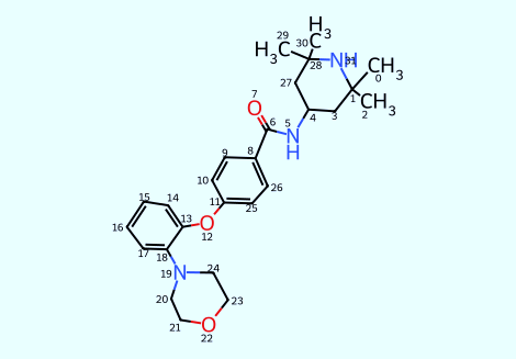 CC1(C)CC(NC(=O)c2ccc(Oc3ccccc3N3CCOCC3)cc2)CC(C)(C)N1